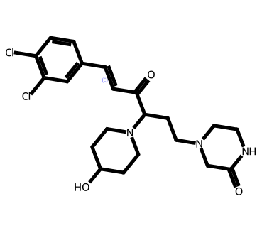 O=C1CN(CCC(C(=O)/C=C/c2ccc(Cl)c(Cl)c2)N2CCC(O)CC2)CCN1